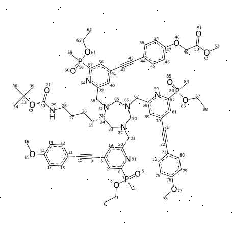 CCOP(C)(=O)c1cc(C#Cc2ccc(OC)cc2)cc(CN2C[C@H](CCCCNC(=O)OC(C)(C)C)N(Cc3cc(C#Cc4ccc(OCC(=O)OC)cc4)cc(P(C)(=O)OCC)n3)CN(Cc3cc(C#Cc4ccc(OC)cc4)cc(P(C)(=O)OCC)n3)C2)n1